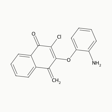 C=C1C(Oc2ccccc2N)=C(Cl)C(=O)c2ccccc21